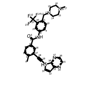 Cc1ccc(C(=O)Nc2ccc(CN3CCN(C)CC3)c(C(F)(F)F)c2)cc1C#C[SH]1C=Cc2nccnc21